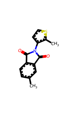 Cc1ccc2c(c1)C(=O)N(c1ccsc1C)C2=O